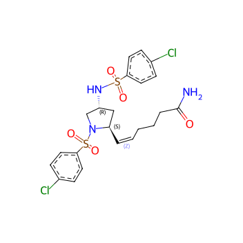 NC(=O)CCC/C=C\[C@@H]1C[C@@H](NS(=O)(=O)c2ccc(Cl)cc2)CN1S(=O)(=O)c1ccc(Cl)cc1